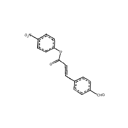 O=Cc1ccc(/C=C/C(=O)Oc2ccc([N+](=O)[O-])cc2)cc1